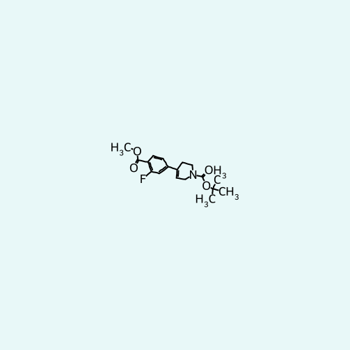 COC(=O)c1ccc(C2=CCN(C(=O)OC(C)(C)C)CC2)cc1F